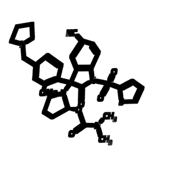 COc1cc(CN2CCCC2)ccc1C1(N2CCC[C@@H]2OC(=O)N(C)C)C(=O)N(S(=O)(=O)c2cccs2)c2ccc(C#N)cc21